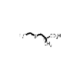 C[C@@H](CSCC(F)(F)F)C(=O)O